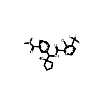 CN(C)C(=O)c1cccc(C(NC(=O)c2nccc(C(F)(F)F)c2Cl)C2(O)CCCC2)c1